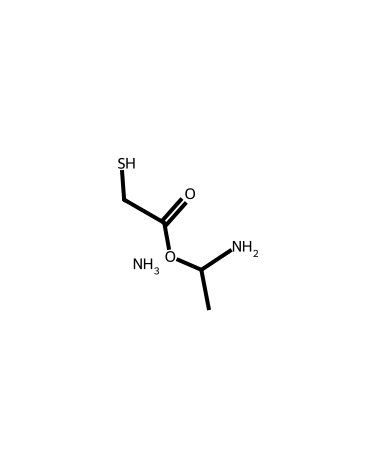 CC(N)OC(=O)CS.N